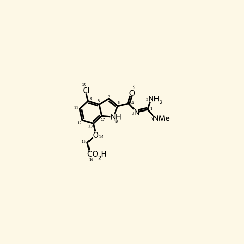 CNC(N)=NC(=O)c1cc2c(Cl)ccc(OCC(=O)O)c2[nH]1